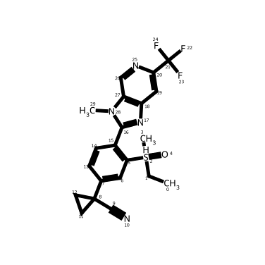 CC[SH](C)(=O)c1cc(C2(C#N)CC2)ccc1-c1nc2cc(C(F)(F)F)ncc2n1C